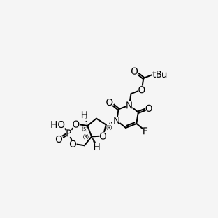 CC(C)(C)C(=O)OCn1c(=O)c(F)cn([C@H]2C[C@@H]3OP(=O)(O)OC[C@H]3O2)c1=O